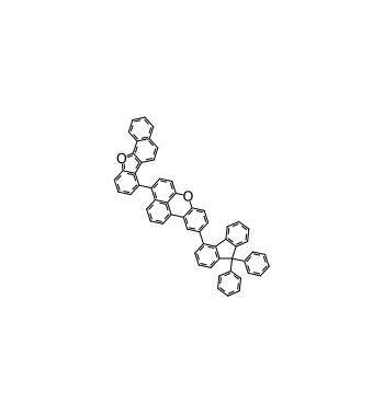 c1ccc(C2(c3ccccc3)c3ccccc3-c3c(-c4ccc5c(c4)-c4cccc6c(-c7cccc8oc9c%10ccccc%10ccc9c78)ccc(c46)O5)cccc32)cc1